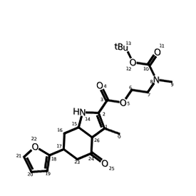 CC1=C(C(=O)OCCN(C)C(=O)OC(C)(C)C)NC2CC(c3ccco3)CC(=O)C12